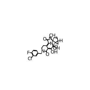 CN1C(=O)c2c3c(c(O)c(=O)n2[C@]12CC[C@@H]1C[C@@]12CO)C(=O)N(Cc1ccc(F)c(Cl)c1)CC3